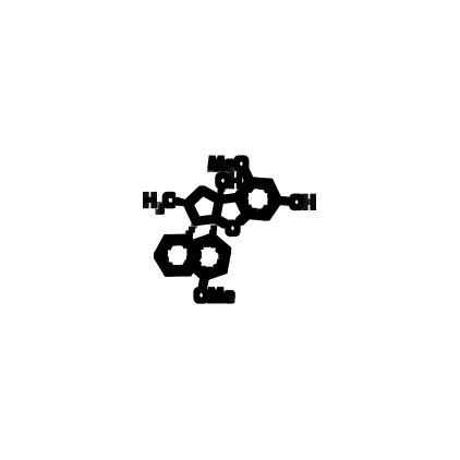 COc1ccc([C@@]23Oc4cc(O)cc(OC)c4[C@]2(O)C[C@H](C)[C@H]3c2ccccc2)cc1